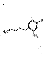 C=CCOCc1ccc(Br)nc1N